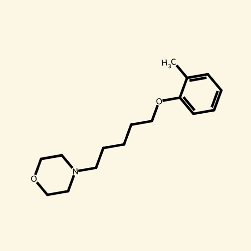 Cc1ccccc1OCCCCCN1CCOCC1